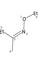 [CH2]CO/N=C(/C)CC